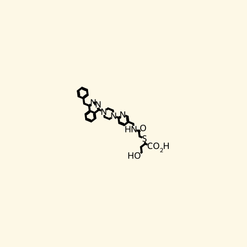 O=C(CSC(CCO)C(=O)O)NCc1ccc(N2CCN(c3nnc(Cc4ccccc4)c4ccccc34)CC2)nc1